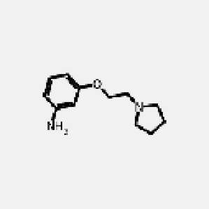 Nc1cccc(OCCN2CCCC2)c1